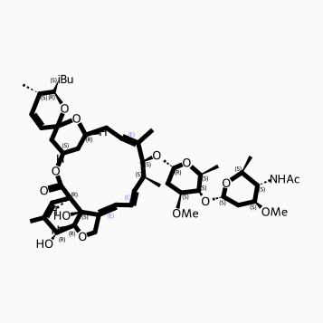 CC[C@H](C)[C@H]1OC2(C=C[C@@H]1C)C[C@@H]1C[C@@H](C/C=C(\C)[C@@H](O[C@H]3C[C@H](OC)[C@@H](O[C@H]4C[C@H](OC)[C@@H](NC(C)=O)[C@H](C)O4)[C@H](C)O3)[C@@H](C)/C=C/C=C3\CO[C@@H]4[C@H](O)C(C)=C[C@@H](C(=O)O1)[C@]34O)O2